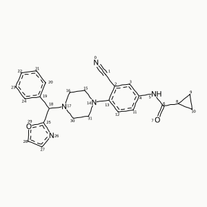 N#Cc1cc(NC(=O)C2CC2)ccc1N1CCN(C(c2ccccc2)c2ncco2)CC1